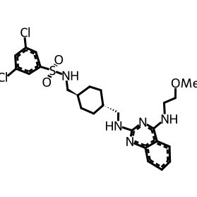 COCCNc1nc(NC[C@H]2CC[C@H](CNS(=O)(=O)c3cc(Cl)cc(Cl)c3)CC2)nc2ccccc12